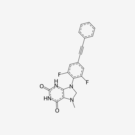 CN1CN(c2c(F)cc(C#Cc3ccccc3)cc2F)c2[nH]c(=O)[nH]c(=O)c21